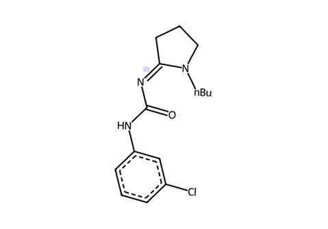 CCCCN1CCC/C1=N/C(=O)Nc1cccc(Cl)c1